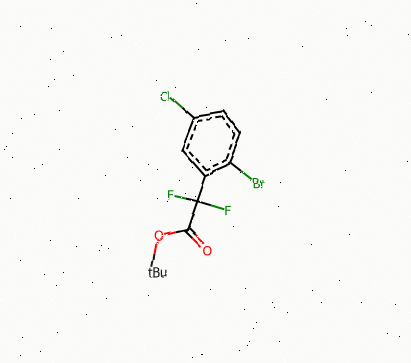 CC(C)(C)OC(=O)C(F)(F)c1cc(Cl)ccc1Br